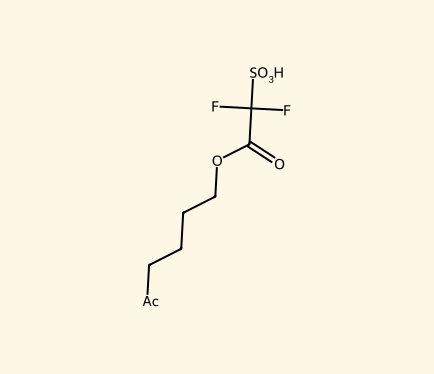 CC(=O)CCCCOC(=O)C(F)(F)S(=O)(=O)O